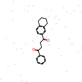 O=C(CCC(=O)c1ccc2c(c1)CCCC2)c1ccccc1